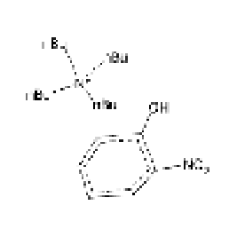 CCCC[N+](CCCC)(CCCC)CCCC.O=[N+]([O-])c1ccccc1O